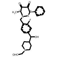 C[C@H]1C(=O)C(=O)[C@@H](c2ccccc2)SN1Cc1ccc(C(O)C2CCN(CC=O)CC2)cc1F